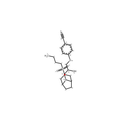 CCCCS(=O)(=O)N1CC2CCC(C1)N2CC(O)COc1ccc(C#N)cc1